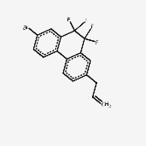 C=CCc1ccc2c(c1)C(F)(F)C(F)(F)c1cc(Br)ccc1-2